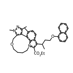 CCOC(=O)c1c(C(C)CCOc2cccc3ccccc23)c2ccc(C)c3c2n1CCCCOCc1c-3c(C)nn1C